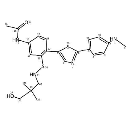 CNc1ccc(-c2ncc(-c3ccc(NC(C)=O)cc3SNCC(C)(C)CO)s2)cc1